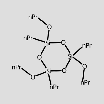 CCCO[Si]1(CCC)O[Si](CCC)(OCCC)O[Si](CCC)(OCCC)O1